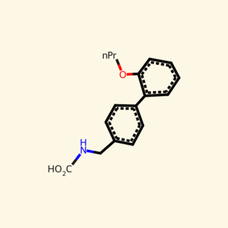 CCCOc1ccccc1-c1ccc(CNC(=O)O)cc1